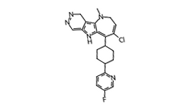 CN1CC=C(Cl)C(C2CCC(c3ccc(F)cn3)CC2)=c2[nH]c3c(c21)CN=NC=3